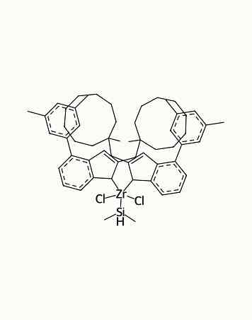 Cc1cc(C)cc(-c2cccc3c2C=C(CC2(C)CCCCCCCC2)[CH]3[Zr]([Cl])([Cl])([CH]2C(CC3(C)CCCCCCCC3)=Cc3c(-c4cc(C)cc(C)c4)cccc32)[SiH](C)C)c1